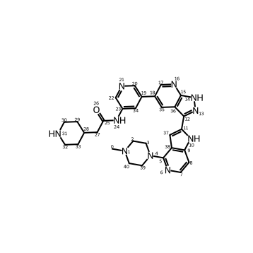 CN1CCN(c2nccc3[nH]c(-c4n[nH]c5ncc(-c6cncc(NC(=O)CC7CCNCC7)c6)cc45)cc23)CC1